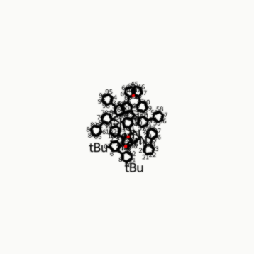 CC(C)(C)c1ccc2c(c1)c1cc(C(C)(C)C)ccc1n2-c1cc(-n2c3ccccc3c3ccccc32)nc(-c2cc([Si](c3cccc(-c4ccccc4)c3)(c3cccc(-c4ccccc4)c3)c3cccc(-c4ccccc4)c3)cc([Si](c3cccc(-c4ccccc4)c3)(c3cccc(-c4ccccc4)c3)c3cccc(-c4ccccc4)c3)c2)n1